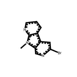 Cn1c2cnc(Br)cc2c2cccnc21